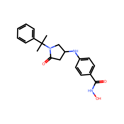 CC(C)(c1ccccc1)N1CC(Nc2ccc(C(=O)NO)cc2)CC1=O